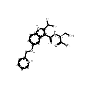 NC(=O)[C@H](CO)NC(=O)c1c(C(F)F)oc2ccc(OCc3ccccn3)cc12